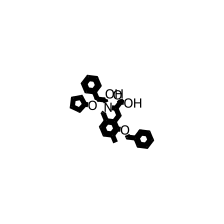 Cc1ccc2c(c1OCc1ccccc1)CC(C(=O)O)N(C(O)C(OC1CCCC1)c1ccccc1)C2